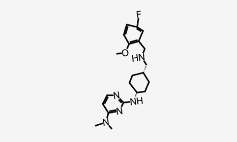 COc1ccc(F)cc1CNC[C@H]1CC[C@@H](Nc2nccc(N(C)C)n2)CC1